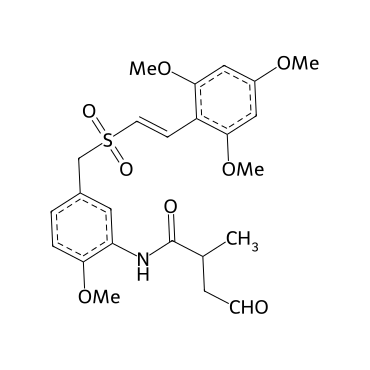 COc1cc(OC)c(/C=C/S(=O)(=O)Cc2ccc(OC)c(NC(=O)C(C)CC=O)c2)c(OC)c1